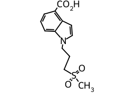 CS(=O)(=O)CCCn1ccc2c(C(=O)O)cccc21